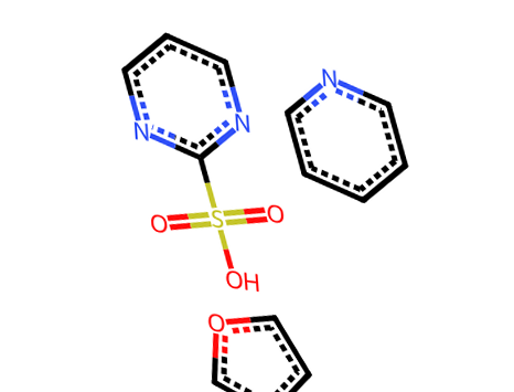 O=S(=O)(O)c1ncccn1.c1ccncc1.c1ccoc1